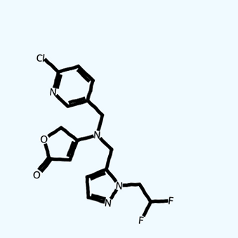 O=C1C=C(N(Cc2ccc(Cl)nc2)Cc2ccnn2CC(F)F)CO1